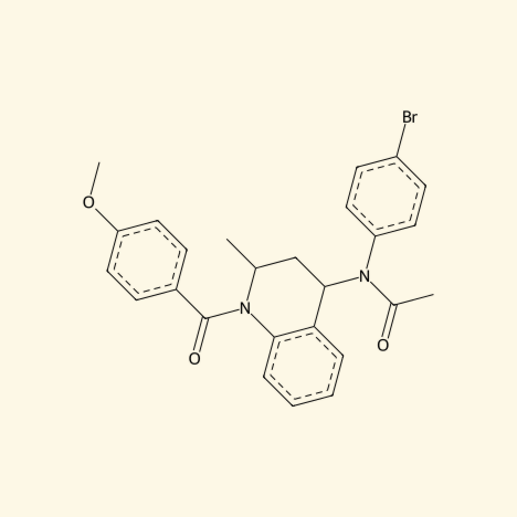 COc1ccc(C(=O)N2c3ccccc3C(N(C(C)=O)c3ccc(Br)cc3)CC2C)cc1